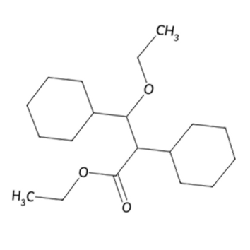 CCOC(=O)C(C1CCCCC1)C(OCC)C1CCCCC1